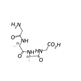 C[C@H](NC(=O)CN)C(=O)N[C@@H](C)C(=O)NCC(=O)O